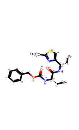 CCOC(=O)c1nc([C@H](CC(C)C)NC(=O)[C@H](CC(C)C)NC(=O)OCc2ccccc2)cs1